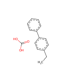 CCc1ccc(-c2ccccc2)cc1.O=C(O)O